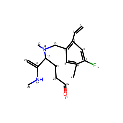 C=Cc1cc(F)c(C)cc1CN(C)C(CCC=O)C(=C)NC